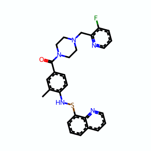 Cc1cc(C(=O)N2CCN(Cc3ncccc3F)CC2)ccc1NSc1cccc2cccnc12